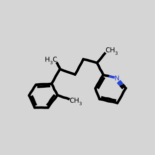 Cc1ccccc1C(C)CCC(C)c1ccccn1